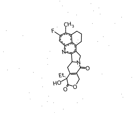 CC[C@@]1(O)C(=O)OCC2=C1CC1c3nc4cc(F)c(C)c5c4c(c3CN1C2=O)CCC5